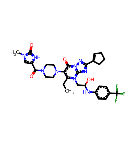 CCc1c(N2CCN(C(=O)c3cn(C)c(=O)[nH]3)CC2)c(=O)n2nc(C3=CCCC3)nc2n1CC(O)Nc1ccc(C(F)(F)F)cc1